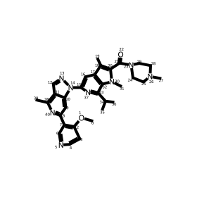 COc1ccncc1-c1cc2c(cnn2-c2cc3c(C)c(C(=O)N4CCN(C)CC4)n(C)c3c(C(C)C)n2)c(C)n1